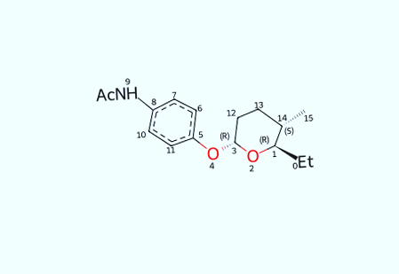 CC[C@H]1O[C@H](Oc2ccc(NC(C)=O)cc2)CC[C@@H]1C